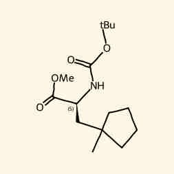 COC(=O)[C@H](CC1(C)CCCC1)NC(=O)OC(C)(C)C